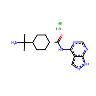 Br.Br.CC(C)(N)[C@H]1CC[C@H](C(=O)Nc2ncnc3[nH]ncc23)CC1